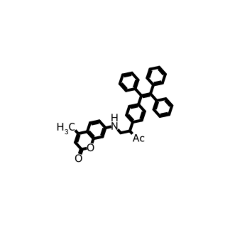 CC(=O)C(CNc1ccc2c(C)cc(=O)oc2c1)c1ccc(C(=C(c2ccccc2)c2ccccc2)c2ccccc2)cc1